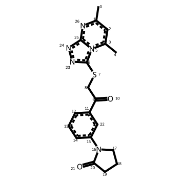 Cc1cc(C)n2c(SCC(=O)c3cccc(N4CCCC4=O)c3)nnc2n1